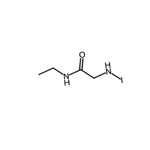 CCNC(=O)CNI